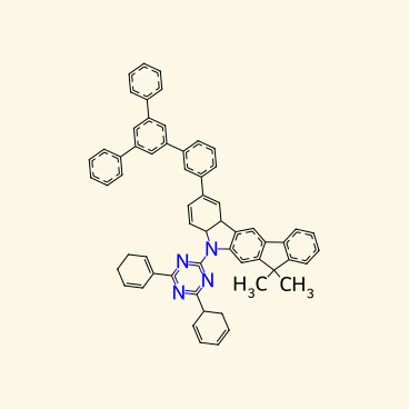 CC1(C)c2ccccc2-c2cc3c(cc21)N(c1nc(C2=CCCC=C2)nc(C2C=CC=CC2)n1)C1C=CC(c2cccc(-c4cc(-c5ccccc5)cc(-c5ccccc5)c4)c2)=CC31